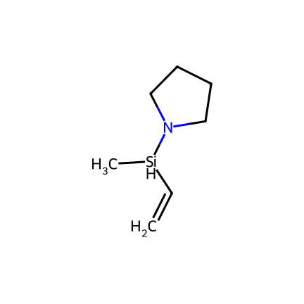 C=C[SiH](C)N1CCCC1